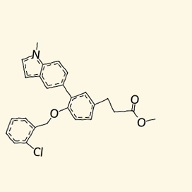 COC(=O)CCc1ccc(OCc2ccccc2Cl)c(-c2ccc3c(ccn3C)c2)c1